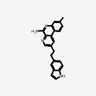 Cc1ccc2c(c1)nc(N)c1ncc(CCc3ccc4[nH]ccc4c3)cc12